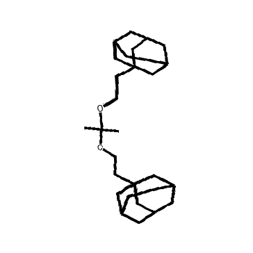 CC(C)(OCCC12CC3CC(CC(C3)C1)C2)OCCC12CC3CC(CC(C3)C1)C2